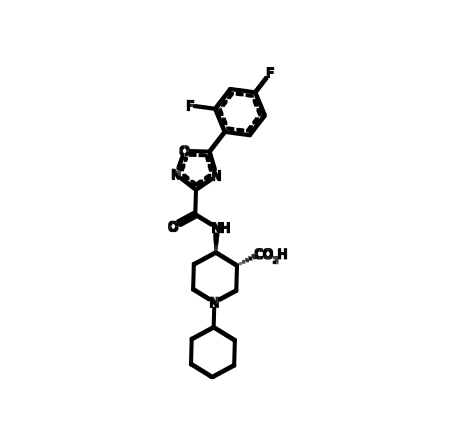 O=C(N[C@@H]1CCN(C2CCCCC2)C[C@H]1C(=O)O)c1noc(-c2ccc(F)cc2F)n1